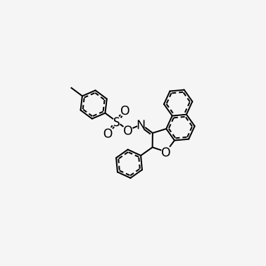 Cc1ccc(S(=O)(=O)O/N=C2/c3c(ccc4ccccc34)OC2c2ccccc2)cc1